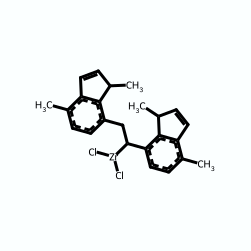 Cc1ccc(C[CH](c2ccc(C)c3c2C(C)C=C3)[Zr]([Cl])[Cl])c2c1C=CC2C